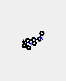 CC1(C)c2ccccc2-c2c1ccc1c2N(c2ccccc2)c2cccc3c(-c4ccnc(-c5ccccc5)c4)ccc-1c23